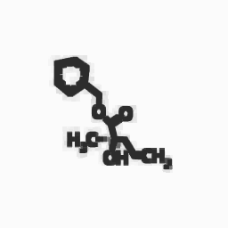 C=CC[C@@](C)(O)C(=O)OCc1ccccc1